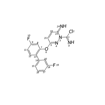 N=C(Cl)n1nc(Oc2cc(F)ccc2-c2cccc(F)c2)ccc1=N